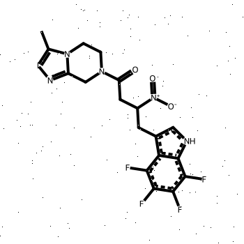 CC1=IN=C2CN(C(=O)CC(Cc3c[nH]c4c(F)c(F)c(F)c(F)c34)[N+](=O)[O-])CCN21